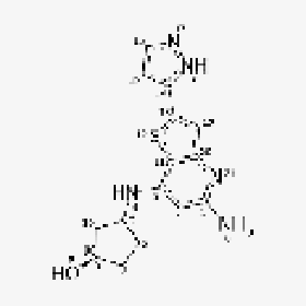 Nc1cc(NC2CC[C@@H](O)C2)c2sc(-c3ccn[nH]3)cc2n1